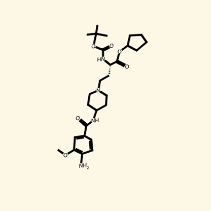 COc1cc(C(=O)NC2CCN(CC[C@H](NC(=O)OC(C)(C)C)C(=O)OC3CCCC3)CC2)ccc1N